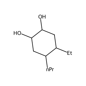 CCCC1CC(O)C(O)CC1CC